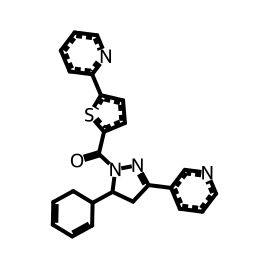 O=C(c1ccc(-c2ccccn2)s1)N1N=C(c2cccnc2)CC1C1C=CC=CC1